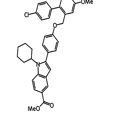 COC(=O)c1ccc2c(c1)cc(-c1ccc(OCc3cc(OC)ccc3-c3ccc(Cl)cc3)cc1)n2C1CCCCC1